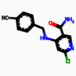 N#Cc1ccc(CNc2cc(Cl)ncc2C(N)=O)cc1